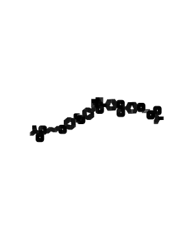 C=C(C)C(=O)OCCCCOc1ccc(SOc2ccc(-c3nnc(-c4ccc(OC(=O)c5ccc(OCCOC(=O)C(=C)C)cc5)cc4)o3)cc2)cc1